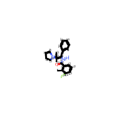 CC1C(C(=O)NC(c2ccccc2)C(C)(C)N2CCCC2)=CC=CC1F